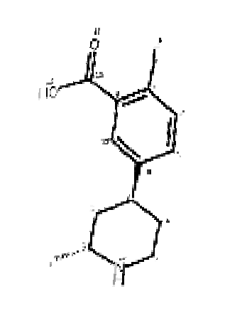 C[C@@H]1C[C@@H](c2ccc(F)c(C(=O)O)c2)CCN1